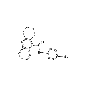 CCCCc1ccc(NC(=O)c2c3c(nc4ccccc24)CCCC3)cc1